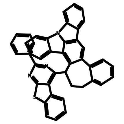 c1ccc(-c2nc(C3CCc4ccccc4-c4cc5c6ccccc6n6c7ccccc7c(c43)c56)c3c(n2)sc2ccccc23)cc1